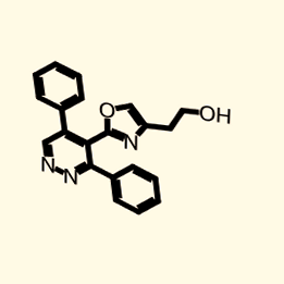 OCCc1coc(-c2c(-c3ccccc3)cnnc2-c2ccccc2)n1